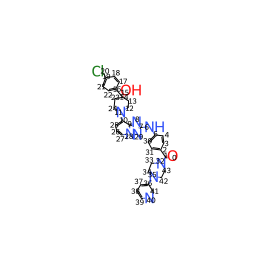 O=C(c1ccc(Nc2nc3c(N4CCC(O)(c5ccc(Cl)cc5)CC4)cccn3n2)cc1)N1CCN(c2cccnc2)CC1